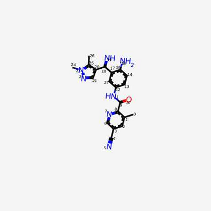 Cc1cc(C#N)cnc1C(=O)Nc1ccc(N)c(C(=N)c2cnn(C)c2C)c1